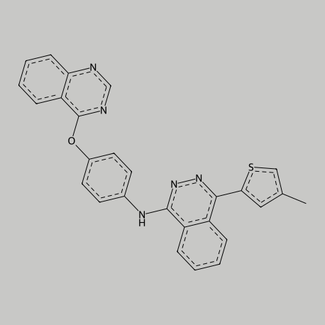 Cc1csc(-c2nnc(Nc3ccc(Oc4ncnc5ccccc45)cc3)c3ccccc23)c1